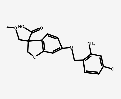 COCC1(C(=O)O)COc2cc(OCc3ccc(Cl)cc3N)ccc21